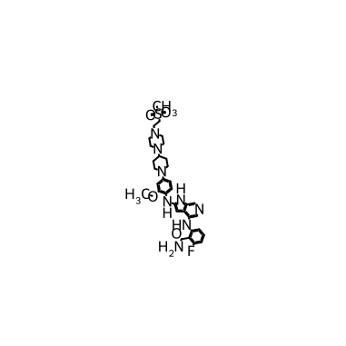 COc1cc(N2CCC(N3CCN(CCS(C)(=O)=O)CC3)CC2)ccc1Nc1cc2c(Nc3cccc(F)c3C(N)=O)cncc2[nH]1